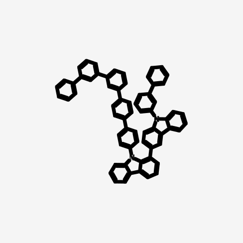 c1ccc(-c2cccc(-c3cccc(-c4ccc(-c5ccc(-n6c7ccccc7c7cccc(-c8ccc9c(c8)c8ccccc8n9-c8cccc(-c9ccccc9)c8)c76)cc5)cc4)c3)c2)cc1